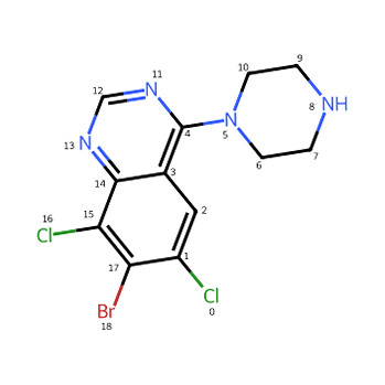 Clc1cc2c(N3CCNCC3)ncnc2c(Cl)c1Br